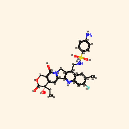 CC[C@@]1(O)C(=O)OCc2c1cc1n(c2=O)Cc2c-1nc1cc(F)c(C)cc1c2CNS(=O)(=O)c1ccc(N)cc1